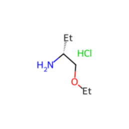 CCOC[C@H](N)CC.Cl